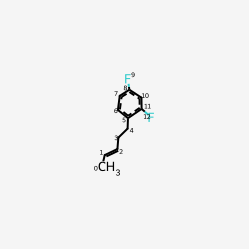 C/C=C/CCc1ccc(F)cc1F